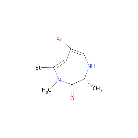 CC/C1=C\C(Br)=C/N[C@H](C)C(=O)N1C